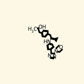 CC(O)Cc1ccc(CC(Nc2ccc(-c3nccnc3N3CCOCC3)cc2)=C2CC2)cc1